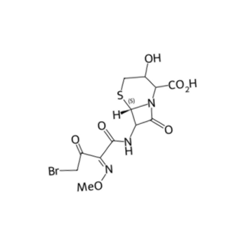 CON=C(C(=O)CBr)C(=O)NC1C(=O)N2C(C(=O)O)C(O)CS[C@@H]12